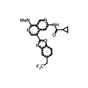 CNc1ncc(-c2nc3cc(CC(F)(F)F)ccc3o2)c2cc(NC(=O)C3CC3)ncc12